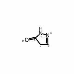 O=C1C[C]=NN1